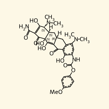 COc1ccc(OC(=O)Nc2cc(N(C)C)c3c(c2O)C(=O)C2=C(O)[C@]4(O)C(=O)C(C(N)=O)=C(O)[C@@H](N(C)C)[C@@H]4C[C@@H]2C3)cc1